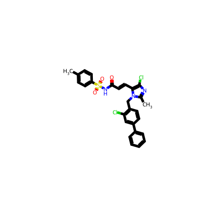 Cc1ccc(S(=O)(=O)NC(=O)/C=C/c2c(Cl)nc(C)n2Cc2ccc(-c3ccccc3)cc2Cl)cc1